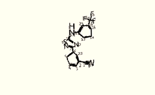 N#Cc1cccc(-c2nsc(Nc3cccc(C(F)(F)F)c3)n2)c1